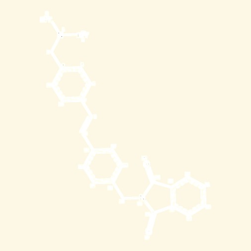 CCCN(CCC)Cc1ccc(C=Cc2ccc(CN3C(=O)c4ccccc4C3=O)cc2)cc1